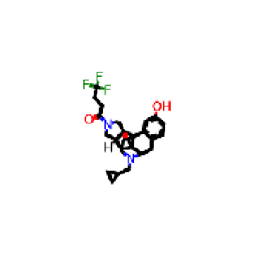 O=C(CCC(F)(F)F)N1C[C@H]2CC34CCC1C2C31CCN(CC2CC2)C4Cc2ccc(O)cc21